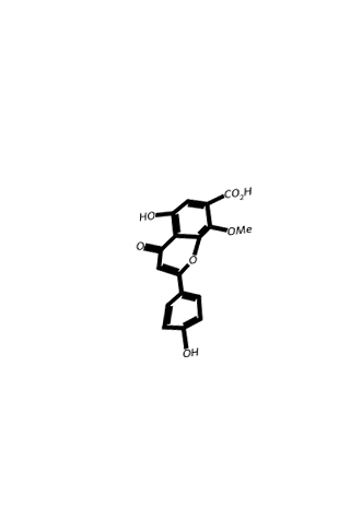 COc1c(C(=O)O)cc(O)c2c(=O)cc(-c3ccc(O)cc3)oc12